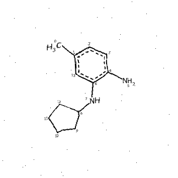 Cc1ccc(N)c(NC2CCCC2)c1